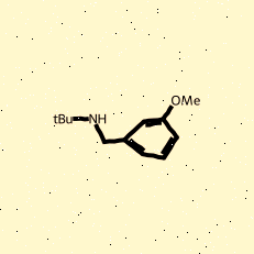 COc1cccc(CNC(C)(C)C)c1